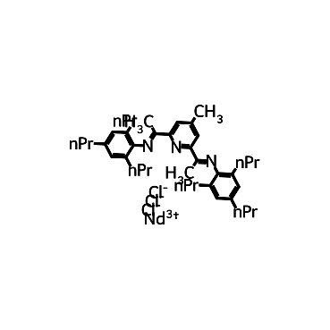 CCCc1cc(CCC)c(N=C(C)c2cc(C)cc(C(C)=Nc3c(CCC)cc(CCC)cc3CCC)n2)c(CCC)c1.[Cl-].[Cl-].[Cl-].[Nd+3]